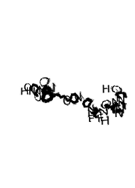 Cn1c(=O)n(C2CCC(=O)NC2=O)c2cccc(CCCOC3CCN(C[C@H]4CC[C@H](n5cc(NC(=O)c6cnn7ccc(N8CC[C@@H](O)C8)nc67)c(C(F)F)n5)CC4)CC3)c21